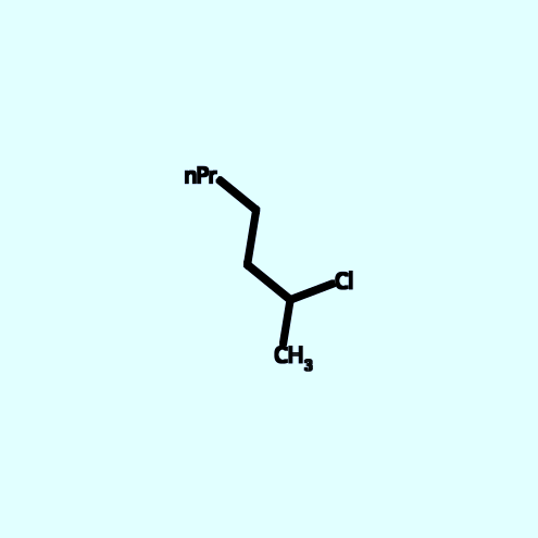 [CH2]CCCCC(C)Cl